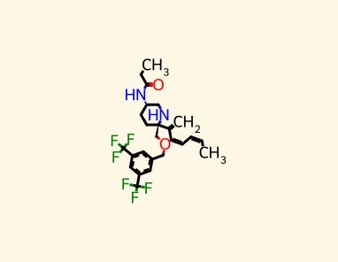 C=C(/C=C\C=C/C)[C@]1(COCc2cc(C(F)(F)F)cc(C(F)(F)F)c2)CC[C@H](NC(=O)CC)CN1